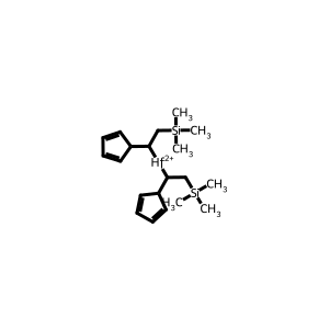 C[Si](C)(C)C[CH]([Hf+2][CH](C[Si](C)(C)C)C1C=CC=C1)C1C=CC=C1